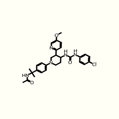 COc1ccc(C2CN(c3ccc(C(C)(C)NC(C)=O)cc3)CCC2NC(=O)Nc2ccc(Cl)cc2)nc1